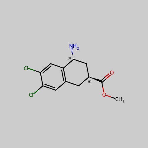 COC(=O)[C@H]1Cc2cc(Cl)c(Cl)cc2[C@H](N)C1